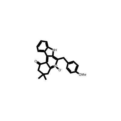 COc1ccc(Cc2c3[nH]c4ccccc4c3c3c([n+]2[O-])CC(C)(C)CC3=O)cc1